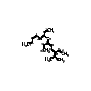 C=C/C=C\N=C(/C=C)O/C(C=C)=C/C=C(\C=C)C(C)C